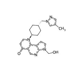 Cc1cnn(C[C@H]2CC[C@H](n3ccc(=O)c4cnc5c(ccn5CO)c43)CC2)c1